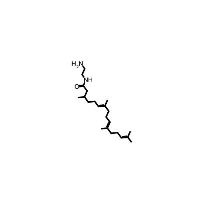 CC(C)=CCCC(C)=CCCC(C)=CCCC(C)CC(=O)NCCN